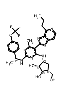 CCCc1nccc2sc(-c3c(C)nc(N[C@H](C)c4ccc(OC(F)(F)F)cc4)nc3N[C@@H]3C[C@H](CO)[C@@H](O)[C@H]3O)nc12